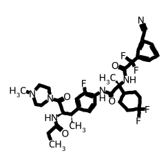 CCC(=O)N[C@@H](C(=O)N1CCN(C)CC1)[C@@H](C)c1ccc(NC(=O)[C@](C)(NC(=O)C(F)(F)c2cccc(C#N)c2)C2CCC(F)(F)CC2)c(F)c1